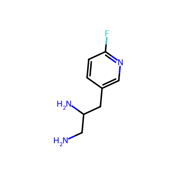 NCC(N)Cc1ccc(F)nc1